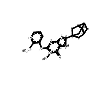 CCCn1c(Oc2cccnc2C(=O)O)nc2nc(C34CC5CC(C3)C(C5)C4)[nH]c2c1=O